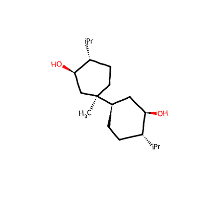 CC(C)[C@@H]1CC[C@@H]([C@]2(C)CC[C@@H](C(C)C)[C@H](O)C2)C[C@H]1O